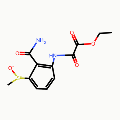 CCOC(=O)C(=O)Nc1cccc([S+](C)[O-])c1C(N)=O